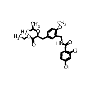 CCOC(=O)C(Cc1ccc(OC)c(CNC(=O)c2ccc(Cl)cc2Cl)c1)OC(C)C